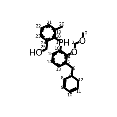 COCOc1c(CC2C=CC=CC2)cccc1Pc1c(C)cccc1CO